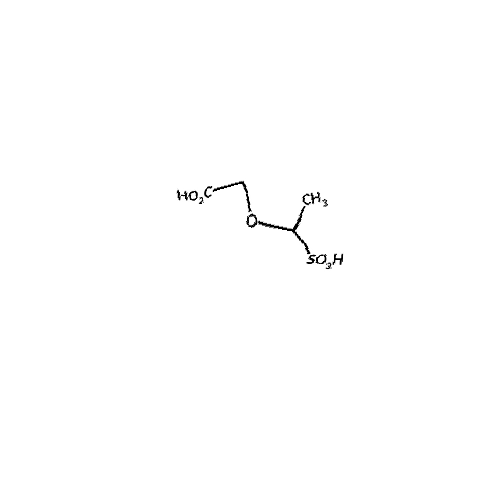 CC(OCC(=O)O)S(=O)(=O)O